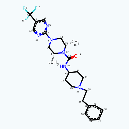 C[C@@H]1CN(c2ncc(C(F)(F)F)cn2)C[C@H](C)N1C(=O)NC1CCN(CCc2ccccc2)CC1